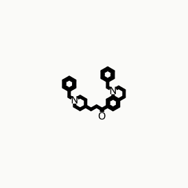 O=C(CCC1CCN(Cc2ccccc2)CC1)c1ccc2c(c1)N(Cc1ccccc1)CCC2